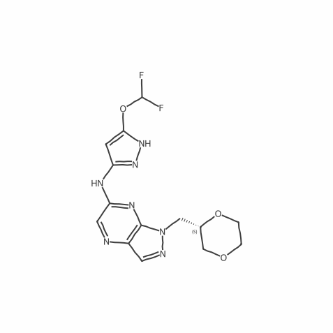 FC(F)Oc1cc(Nc2cnc3cnn(C[C@H]4COCCO4)c3n2)n[nH]1